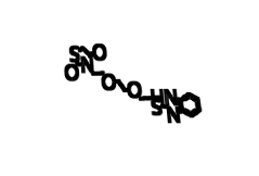 O=C1CSC(=O)N1CCOCCOCCSc1nc2ccccc2[nH]1